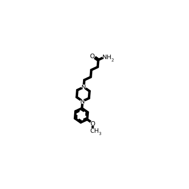 COc1cccc(N2CCN(CCCCC(N)=O)CC2)c1